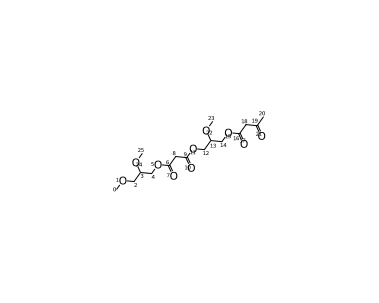 COCC(COC(=O)CC(=O)OCC(COC(=O)CC(C)=O)OC)OC